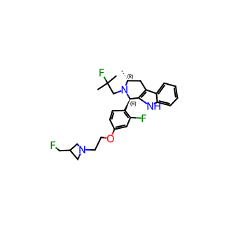 C[C@@H]1Cc2c([nH]c3ccccc23)[C@@H](c2ccc(OCCN3CC(CF)C3)cc2F)N1CC(C)(C)F